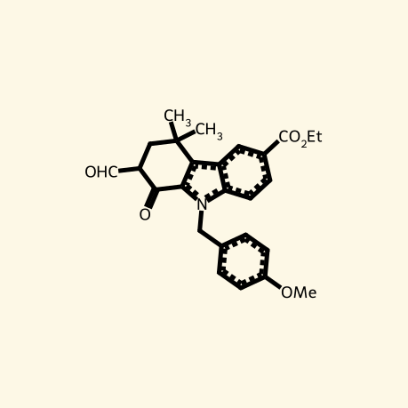 CCOC(=O)c1ccc2c(c1)c1c(n2Cc2ccc(OC)cc2)C(=O)C(C=O)CC1(C)C